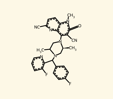 CC1CN(c2c(C#N)c(=O)n(C)c3ccc(C#N)nc23)[C@@H](C)CN1C(c1ccc(F)cc1)c1ncccc1F